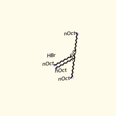 Br.CCCCCCCC/C=C\CCCCCCCCOCC(CN(CCCCCCCC/C=C\CCCCCCCC)CCCCCCCC/C=C\CCCCCCCC)OCCCCCCCC/C=C\CCCCCCCC